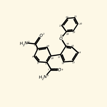 NC(=O)c1ccc(C(N)=O)c(-c2ccccc2Oc2ccccc2)c1